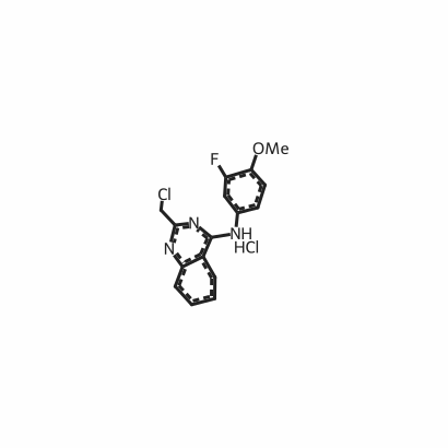 COc1ccc(Nc2nc(CCl)nc3ccccc23)cc1F.Cl